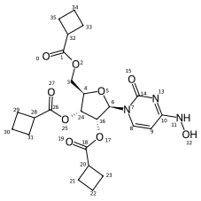 O=C(OC[C@H]1O[C@@H](n2ccc(NO)nc2=O)[C@H](OC(=O)C2CCC2)[C@@H]1OC(=O)C1CCC1)C1CCC1